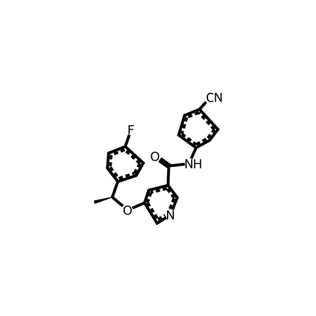 C[C@H](Oc1cncc(C(=O)Nc2ccc(C#N)cc2)c1)c1ccc(F)cc1